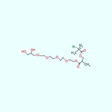 CC(COC(=O)C(C)(C)Br)C(=O)OCCOCCOCCOCCOCC(O)CO